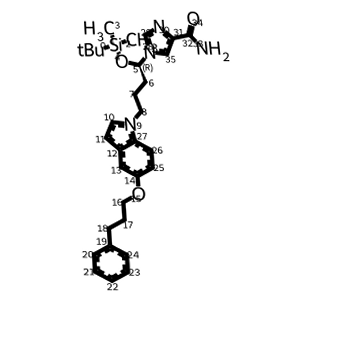 CC(C)(C)[Si](C)(C)O[C@H](CCCn1ccc2cc(OCCCc3ccccc3)ccc21)n1cnc(C(N)=O)c1